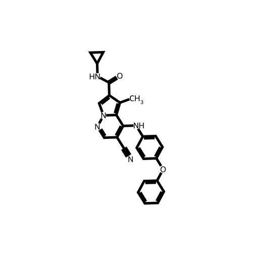 Cc1c(C(=O)NC2CC2)cn2ncc(C#N)c(Nc3ccc(Oc4ccccc4)cc3)c12